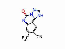 N#Cc1cc2c(cc1C(F)(F)F)nc(=O)n1nc[nH]c21